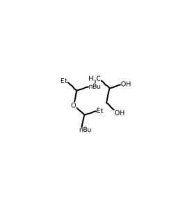 CC(O)CO.CCCCC(CC)OC(CC)CCCC